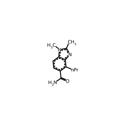 CCCc1c(C(N)=O)ccc2c1nc(C)n2C